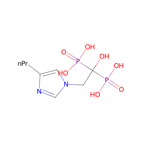 CCCc1cn(CC(O)(P(=O)(O)O)P(=O)(O)O)cn1